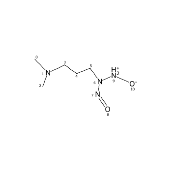 CN(C)CCCN(N=O)[NH2+][O-]